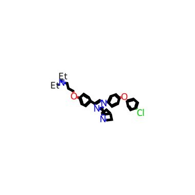 CCN(CC)CCCOc1ccc(-c2cn(-c3ccc(Oc4ccc(Cl)cc4)cc3)c(C3C4CCN3CC4)n2)cc1